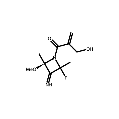 C=C(CO)C(=O)N1C(C)(F)C(=N)[C@@]1(C)OC